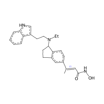 CCN(CCc1c[nH]c2ccccc12)C1CCc2cc(/C(C)=C/C(=O)NO)ccc21